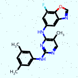 Cc1cc(C)cc(Nc2ncc(C)c(Nc3cc(F)c4ocnc4c3)n2)c1